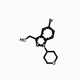 OCc1nn(C2CCOCC2)c2ccc(Br)cc12